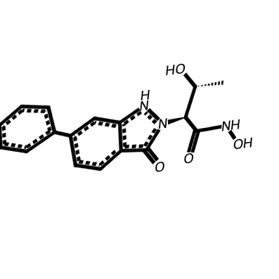 C[C@@H](O)[C@@H](C(=O)NO)n1[nH]c2cc(-c3ccccc3)ccc2c1=O